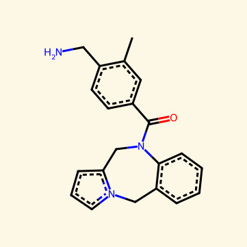 Cc1cc(C(=O)N2Cc3cccn3Cc3ccccc32)ccc1CN